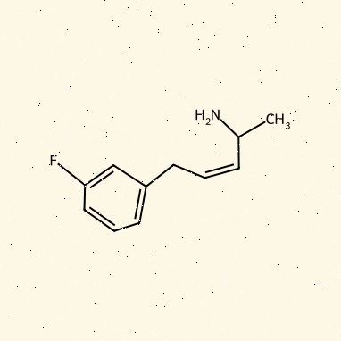 CC(N)/C=C\Cc1cccc(F)c1